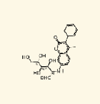 Cc1c(C2C=CC=CC2)c(=O)oc2cc(N[C@H](C=O)[C@H](O)[C@@H](O)[C@@H](O)CO)ccc12